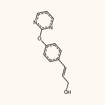 OCC=Cc1ccc(Oc2ncccn2)cc1